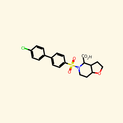 O=C(O)C1C2CCOC2CCN1S(=O)(=O)c1ccc(-c2ccc(Cl)cc2)cc1